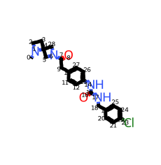 CN1CCC12CN(C(=O)Cc1ccc(NC(=O)NCc3ccc(Cl)cc3)cc1)C2